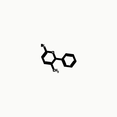 CC1=CC=C(Br)OC1c1ccccc1